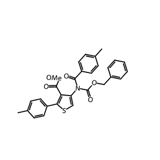 COC(=O)c1c(N(C(=O)OCc2ccccc2)C(=O)c2ccc(C)cc2)csc1-c1ccc(C)cc1